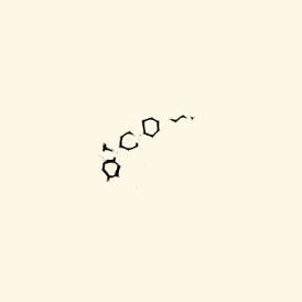 COCCO[C@H]1CC[C@@H](N2CCC(n3c(=O)[nH]c4cc(F)c(C)cc43)CC2)CC1.Cl